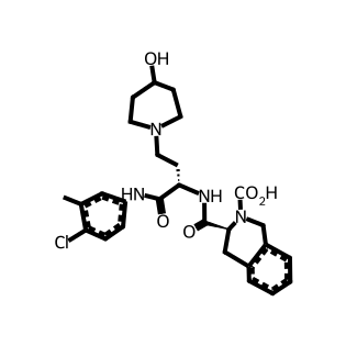 Cc1cc(NC(=O)[C@H](CCN2CCC(O)CC2)NC(=O)[C@@H]2Cc3ccccc3CN2C(=O)O)ccc1Cl